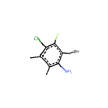 CCC(C)c1c(N)c(C)c(C)c(Cl)c1F